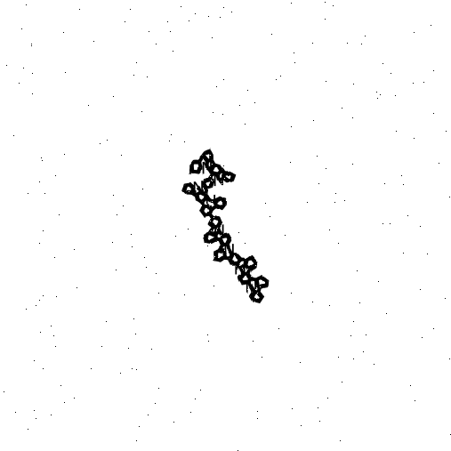 c1ccc2c(c1)c1cccc3c4c5c6cccc7c8cc9c(cc8n(c5ccc4n2c13)c76)c1cccc2c3c4c5cccc6c7cc(-c8ccc%10c%11cc%12c%13ccccc%13n%13c%14cc%15c%16c%17c(cc%18c%19cccc%20c%21ccccc%21n(c%20%19)c%18%16)c%16ccccc%16n%17c%15cc%14c(c%12%13)c%11n%11c%12ccccc%12c8c%10%11)ccc7n(c4ccc3n9c12)c65